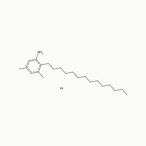 CCCCCCCCCCCCCCc1c(C)cc(C)cc1N.I